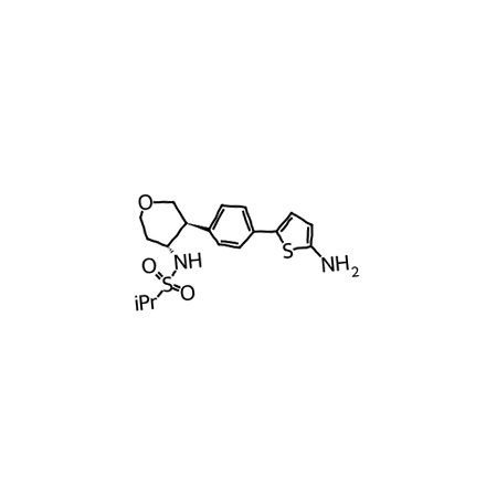 CC(C)S(=O)(=O)N[C@@H]1CCOC[C@H]1c1ccc(-c2ccc(N)s2)cc1